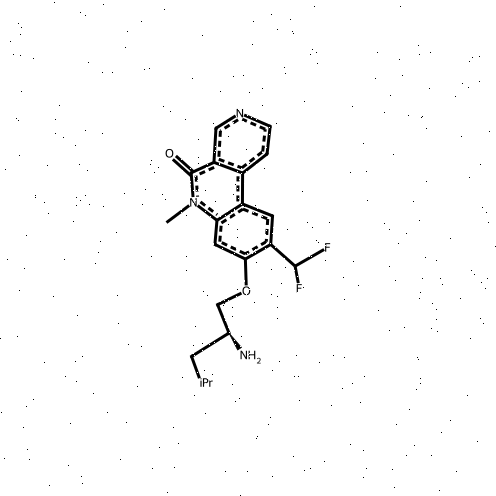 CC(C)C[C@H](N)COc1cc2c(cc1C(F)F)c1ccncc1c(=O)n2C